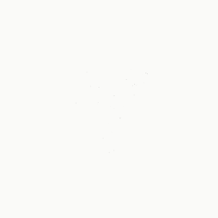 CCCCO[Si](CCCN1C=CCNC1)(OCCCC)OCCCC